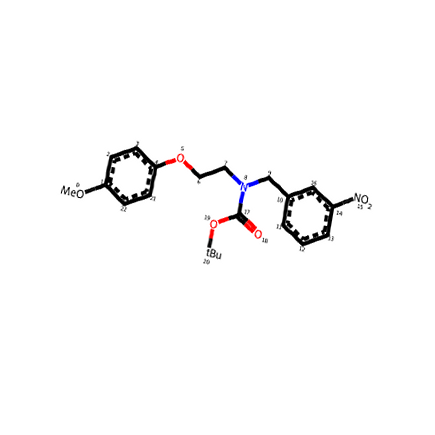 COc1ccc(OCCN(Cc2cccc([N+](=O)[O-])c2)C(=O)OC(C)(C)C)cc1